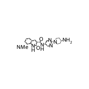 CNc1cccc2cc(C(=O)Nc3cnc(N4CCC(N)CC4)nc3)c(=O)[nH]c12